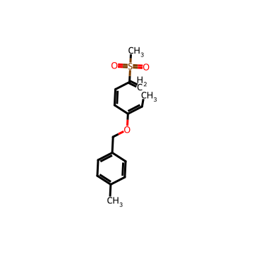 C=C(/C=C\C(=C/C)OCc1ccc(C)cc1)S(C)(=O)=O